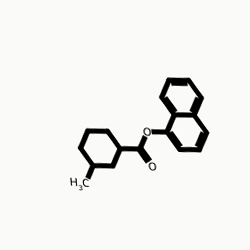 CC1CCCC(C(=O)Oc2cccc3ccccc23)C1